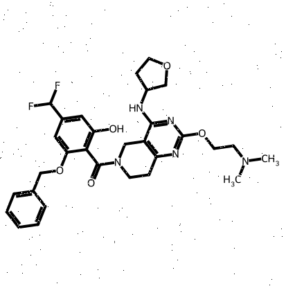 CN(C)CCOc1nc2c(c(NC3CCOC3)n1)CN(C(=O)c1c(O)cc(C(F)F)cc1OCc1ccccc1)CC2